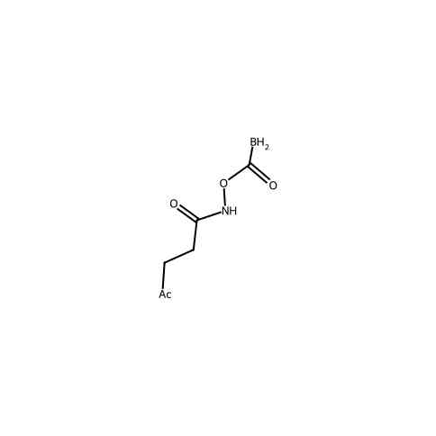 BC(=O)ONC(=O)CCC(C)=O